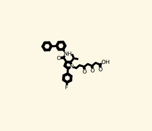 CC(C)c1c(C(=O)Nc2cccc(-c3ccccc3)c2)cc(-c2ccc(F)cc2)n1CCC(=O)CC(=O)CC(=O)O